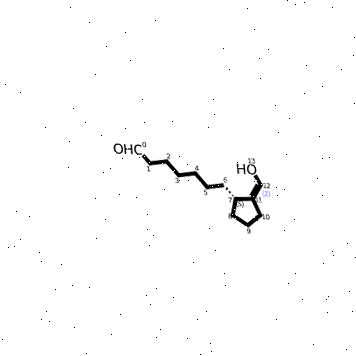 O=CCCCCCC[C@H]1CCC/C1=C/O